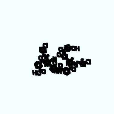 CN(Cc1ccc(Cl)s1)c1c(C#N)c(C2CCNCC2=O)nn1C(=O)c1cccc(C(=O)O)c1.Cc1c(C2CC(=O)N(C(=O)N3CCC(O)C3)C2)nn(C(=O)c2cccc(C(=O)O)c2)c1N(C)Cc1ccc(Cl)s1